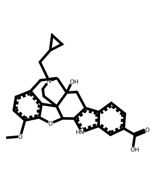 COc1ccc2c3c1OC1c4[nH]c5cc(C(=O)O)ccc5c4CC4(O)C(C2)N(CC2CC2)CCC314